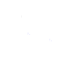 C[C@@H]1CN(C2CCN(C)CC2)CCO1